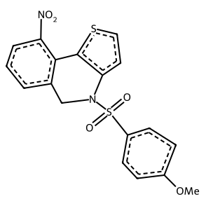 COc1ccc(S(=O)(=O)N2Cc3cccc([N+](=O)[O-])c3-c3sccc32)cc1